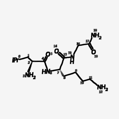 CC(C)C[C@H](N)C(=O)N[C@@H](CCCCN)C(=O)NCC(N)=O